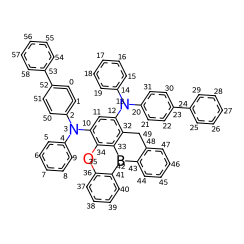 C1=C=C(N(c2ccccc2)c2cc(N(c3ccccc3)c3ccc(-c4ccccc4)cc3)c3c4c2Oc2ccccc2B4c2ccccc2C3)C=CC=1c1ccccc1